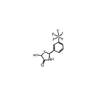 O=C1NC(c2cccc(S(F)(F)(F)(F)F)c2)SC1O